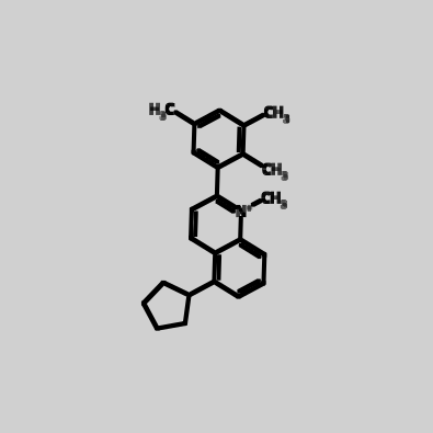 Cc1cc(C)c(C)c(-c2ccc3c(C4CCCC4)cccc3[n+]2C)c1